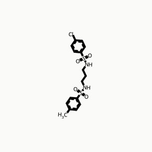 Cc1ccc(S(=O)(=O)NCCCNS(=O)(=O)c2ccc(Cl)cc2)cc1